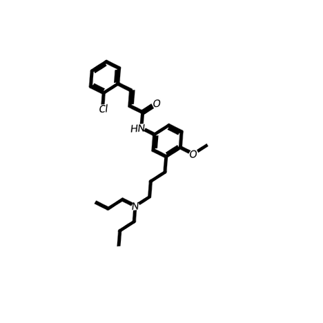 CCCN(CCC)CCCc1cc(NC(=O)C=Cc2ccccc2Cl)ccc1OC